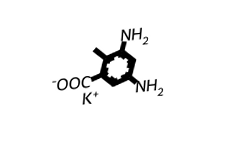 Cc1c(N)cc(N)cc1C(=O)[O-].[K+]